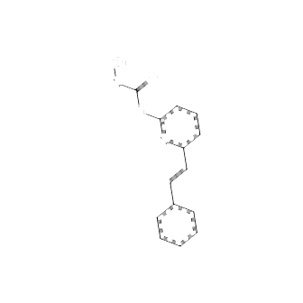 CC(C)(C)NC(=O)Oc1cccc(C=Cc2ccccc2)n1